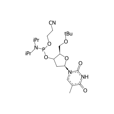 Cc1cn([C@H]2CC(OP(OCCC#N)N(C(C)C)C(C)C)[C@@H](COC(C)(C)C)O2)c(=O)[nH]c1=O